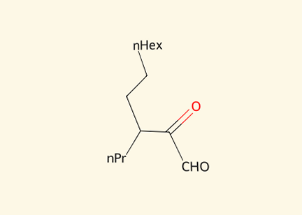 CCCCCCCCC(CCC)C(=O)C=O